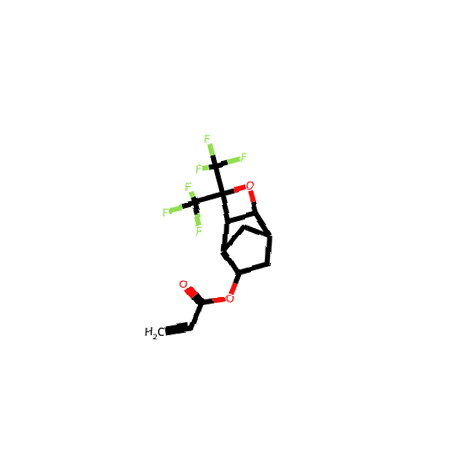 C=CC(=O)OC1CC2CC1C1C2OC1(C(F)(F)F)C(F)(F)F